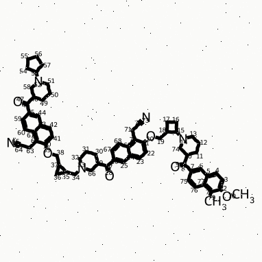 COc1ccc2cc(C(=O)C3CCCN(C4CCC4COc4ccc5cc(C(=O)C6CCCN(CC7CC7COc7ccc8cc(C(=O)C9CCCN(C%10CCCC%10)C9)ccc8c7CC#N)C6)ccc5c4CC#N)C3)ccc2c1C